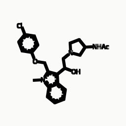 CC(=O)NC1CCN(CC(O)c2c(COc3ccc(Cl)cc3)n(C)c3ccccc23)C1